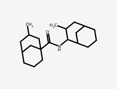 CC1CC2CCCC(C(=O)NC3C(C)CC4CCCC3C4)(C1)C2